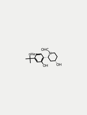 CCCCCCC(C)(C)c1ccc([C@H]2C[C@@H](O)CCN2C=O)c(O)c1